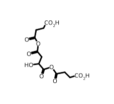 O=C(O)CCC(=O)OC(=O)CC(O)C(=O)OC(=O)CCC(=O)O